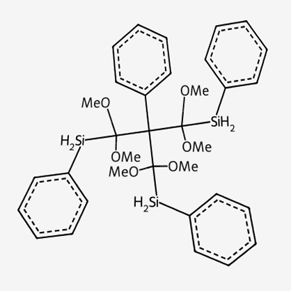 COC(OC)([SiH2]c1ccccc1)C(c1ccccc1)(C(OC)(OC)[SiH2]c1ccccc1)C(OC)(OC)[SiH2]c1ccccc1